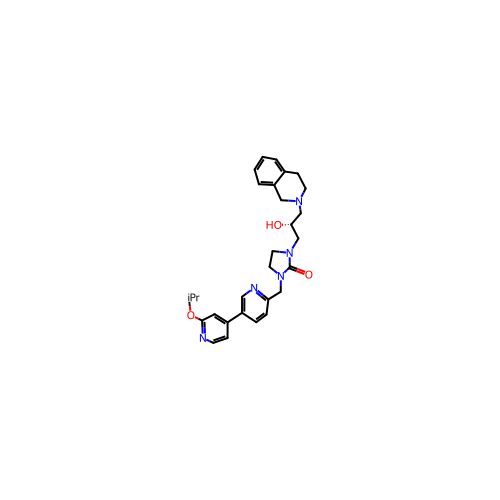 CC(C)Oc1cc(-c2ccc(CN3CCN(C[C@H](O)CN4CCc5ccccc5C4)C3=O)nc2)ccn1